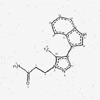 NC(=O)CCn1ncc(-c2c[nH]c3ccccc23)c1C(F)(F)F